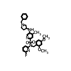 COc1ccc(CN(c2cccc(F)n2)S(=O)(=O)c2cc(C)c(NC3CCN(Cc4ccccc4)C3)cn2)c(OC)c1